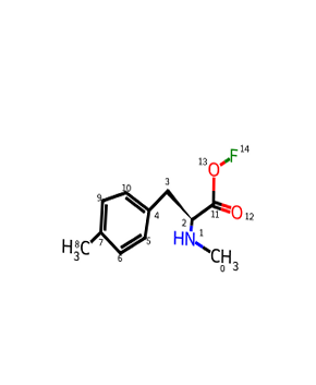 CN[C@@H](Cc1ccc(C)cc1)C(=O)OF